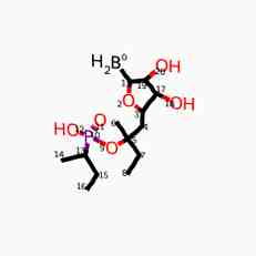 BC1OC(CC(C)(CC)OP(=O)(O)C(C)CC)C(O)C1O